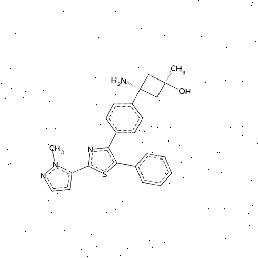 Cn1nccc1-c1nc(-c2ccc([C@]3(N)C[C@](C)(O)C3)cc2)c(-c2ccccc2)s1